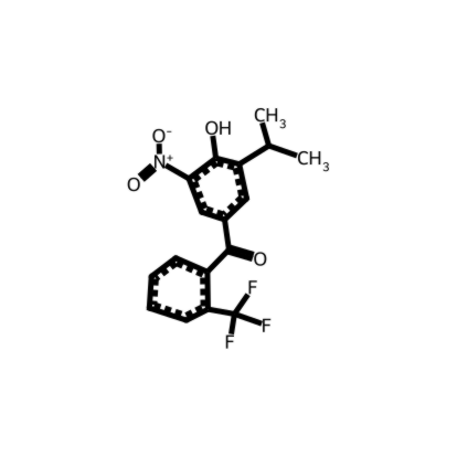 CC(C)c1cc(C(=O)c2ccccc2C(F)(F)F)cc([N+](=O)[O-])c1O